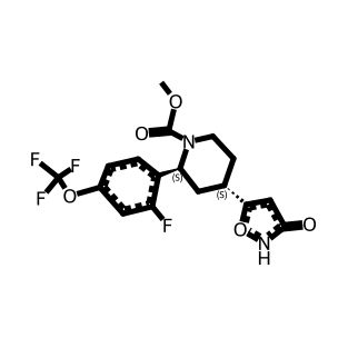 COC(=O)N1CC[C@H](c2cc(=O)[nH]o2)C[C@H]1c1ccc(OC(F)(F)F)cc1F